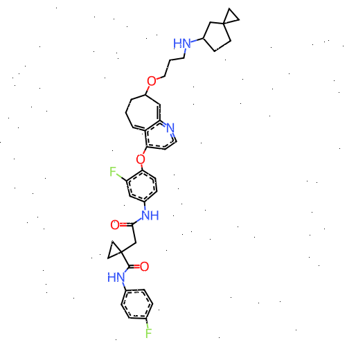 O=C(CC1(C(=O)Nc2ccc(F)cc2)CC1)Nc1ccc(Oc2ccnc3c2=CCCC(OCCCNC2CCC4(CC4)C2)C=3)c(F)c1